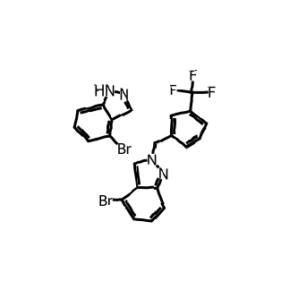 Brc1cccc2[nH]ncc12.FC(F)(F)c1cccc(Cn2cc3c(Br)cccc3n2)c1